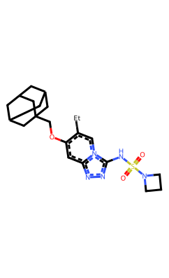 CCc1cn2c(NS(=O)(=O)N3CCC3)nnc2cc1OCC12CC3CC(CC(C3)C1)C2